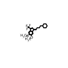 COc1cc2c(cc1OC)/C(=C/CCCC1CCCCC1)C=C2C(F)(F)F